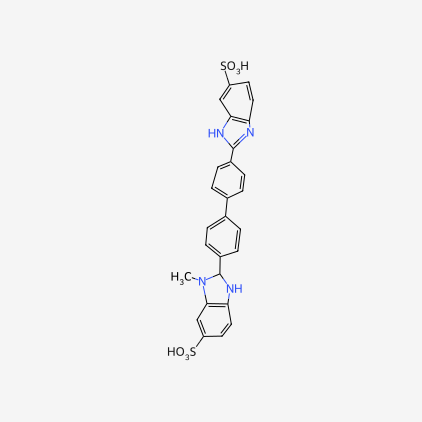 CN1c2cc(S(=O)(=O)O)ccc2NC1c1ccc(-c2ccc(-c3nc4ccc(S(=O)(=O)O)cc4[nH]3)cc2)cc1